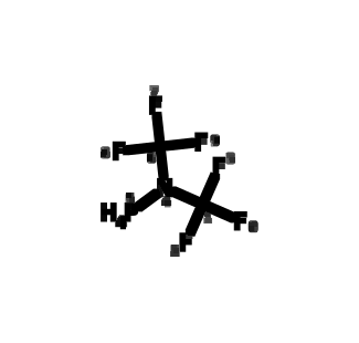 FC(F)(F)N([PH4])C(F)(F)F